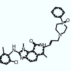 Cc1cccc(Cl)c1Nc1nc2ccc3c(C)c(/C=C/CN4CCP(=O)(c5ccccc5)CC4)[nH]c(=O)c3c2n1C